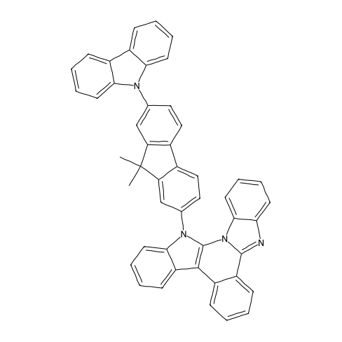 CC1(C)c2cc(-n3c4ccccc4c4ccccc43)ccc2-c2ccc(-n3c4ccccc4c4c5ccccc5c5nc6ccccc6n5c43)cc21